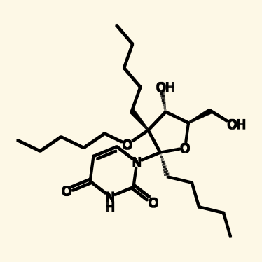 CCCCCO[C@]1(CCCCC)[C@H](O)[C@@H](CO)O[C@@]1(CCCCC)n1ccc(=O)[nH]c1=O